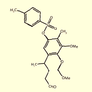 COCOc1c(C(C)CCC=O)cc(OS(=O)(=O)c2ccc(C)cc2)c(C)c1OC